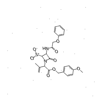 C=C(C)C(C(=O)OCc1ccc(OC)cc1)N1C(=O)C(NC(=O)COc2ccccc2)C1[S+]([O-])Cl